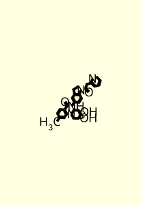 Cc1ccc(C(=O)Nc2ccc3c(c2)CCN3C(=O)Cc2ccccn2)c(N2CCS(O)(O)CC2)c1